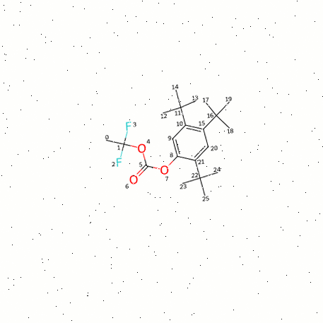 CC(F)(F)OC(=O)Oc1cc(C(C)(C)C)c(C(C)(C)C)cc1C(C)(C)C